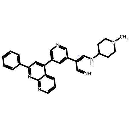 CN1CCC(N/C=C(\C=N)c2cncc(-c3cc(-c4ccccc4)nc4ncccc34)c2)CC1